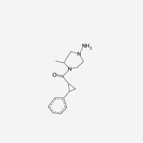 CC1CN(N)CCN1C(=O)C1CC1c1ccccc1